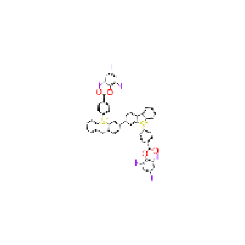 O=C(Oc1c(I)cc(I)cc1I)c1ccc([S+]2c3ccccc3Cc3ccc(-c4ccc5c6ccccc6[s+](-c6ccc(C(=O)Oc7c(I)cc(I)cc7I)cc6)c5c4)cc32)cc1